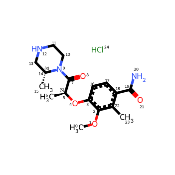 COc1c(O[C@@H](C)C(=O)N2CCNC[C@H]2C)ccc(C(N)=O)c1C.Cl